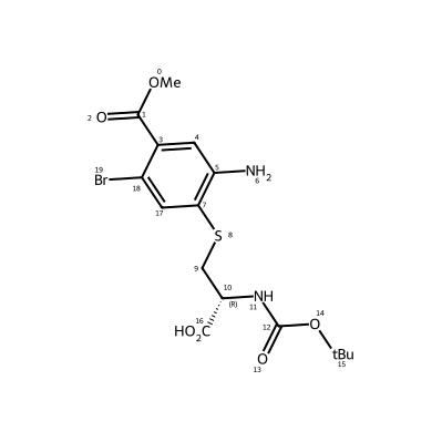 COC(=O)c1cc(N)c(SC[C@H](NC(=O)OC(C)(C)C)C(=O)O)cc1Br